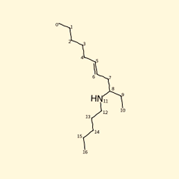 CCCCCC=CCC(CC)NCCCCC